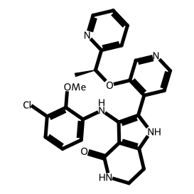 COc1c(Cl)cccc1Nc1c(-c2ccncc2O[C@@H](C)c2ccccn2)[nH]c2c1C(=O)NCC2